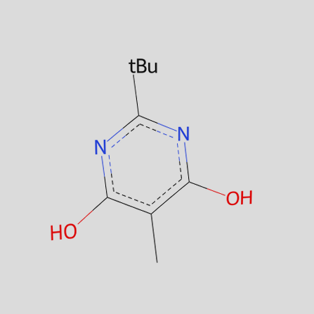 Cc1c(O)nc(C(C)(C)C)nc1O